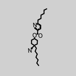 CCCCCCCC1(C#N)CCC(OC(=O)c2ccc(CCCCCC)nc2)CC1